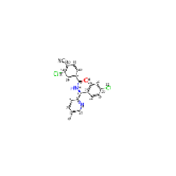 Cc1ccc([C@@H](NC(=O)c2ccc(C#N)c(Cl)c2)c2ccc(Cl)cc2)nc1